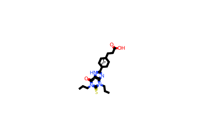 CCCn1c(=O)c2[nH]c(C34CCC(CCC(=O)O)(CC3)CC4)nc2n(CCC)c1=S